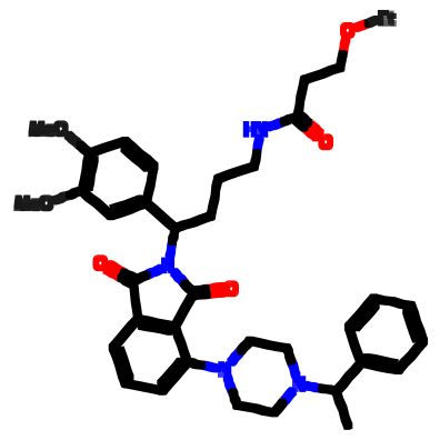 CCOCCC(=O)NCCCC(c1ccc(OC)c(OC)c1)N1C(=O)c2cccc(N3CCN(C(C)c4ccccc4)CC3)c2C1=O